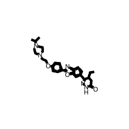 CCC1CC(=O)NN=C1c1ccc2nc(-c3ccc(OCCN4CCN(C(C)C)CC4)cc3)oc2c1